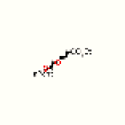 CCCCCOCCOCCCC(=O)OCC